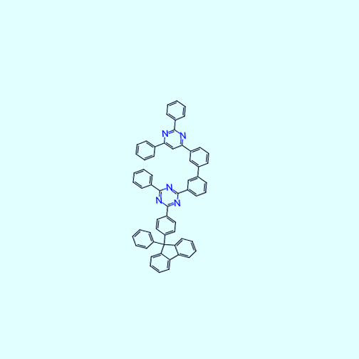 c1ccc(-c2cc(-c3cccc(-c4cccc(-c5nc(-c6ccccc6)nc(-c6ccc(C7(c8ccccc8)c8ccccc8-c8ccccc87)cc6)n5)c4)c3)nc(-c3ccccc3)n2)cc1